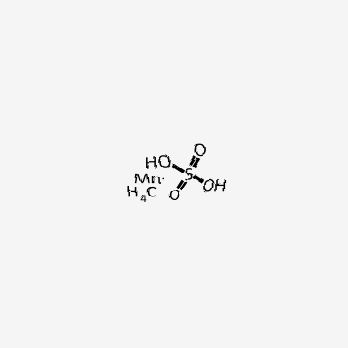 C.O=S(=O)(O)O.[Mn]